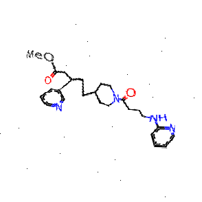 COC(=O)CC(CCC1CCN(C(=O)CCCNc2ccccn2)CC1)c1cccnc1